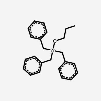 CCC[O][Zr]([CH2]c1ccccc1)([CH2]c1ccccc1)[CH2]c1ccccc1